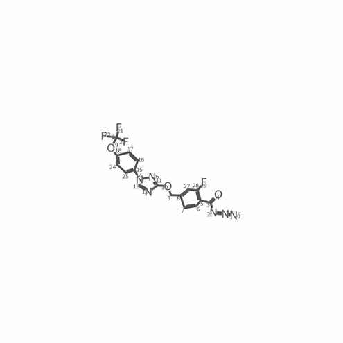 [N-]=[N+]=NC(=O)c1ccc(COc2ncn(-c3ccc(OC(F)(F)F)cc3)n2)cc1F